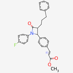 COC(=O)/C=C/c1ccc(C2C(CCCc3ccccc3)C(=O)N2c2ccc(F)cc2)cc1